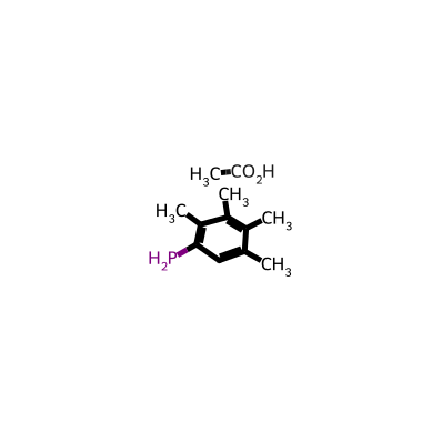 CC(=O)O.Cc1cc(P)c(C)c(C)c1C